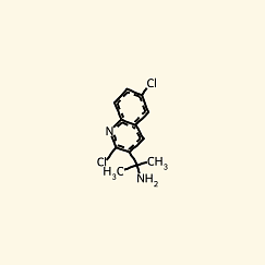 CC(C)(N)c1cc2cc(Cl)ccc2nc1Cl